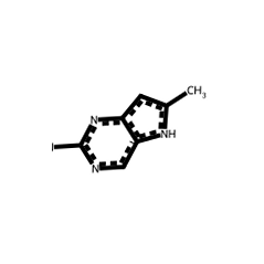 Cc1cc2nc(I)ncc2[nH]1